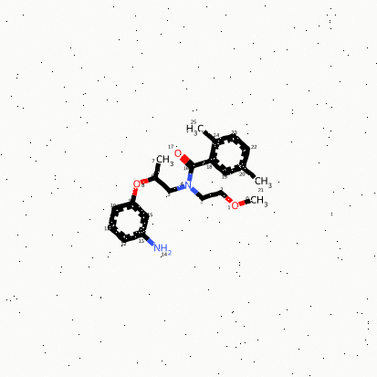 COCCN(CC(C)Oc1cccc(N)c1)C(=O)c1cc(C)ccc1C